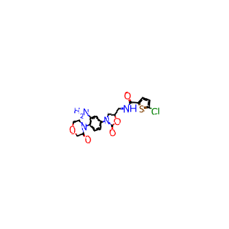 Nc1cc(N2CC(CNC(=O)c3ccc(Cl)s3)OC2=O)ccc1N1CCOCC1=O